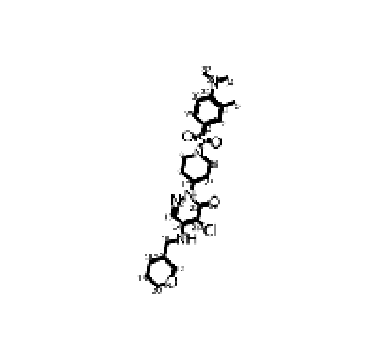 Cc1cc(S(=O)(=O)N2CCC(n3ncc(NCC4CCCOC4)c(Cl)c3=O)CC2)ccc1N(C)C